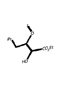 CCOC(=O)C(O)C(CC(C)C)OI